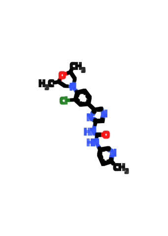 Cc1ccc(NC(=O)Nc2cncc(-c3ccc(N4CC(C)OC(C)C4)c(Cl)c3)n2)cn1